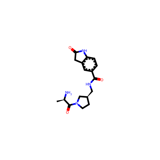 C[C@@H](N)C(=O)N1CC[C@H](CNC(=O)c2ccc3c(c2)CC(=O)N3)C1